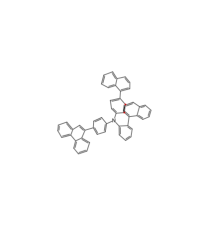 c1ccc(N(c2ccc(-c3cccc4ccccc34)cc2)c2ccc(-c3cc4ccccc4c4ccccc34)cc2)c(-c2cccc3ccccc23)c1